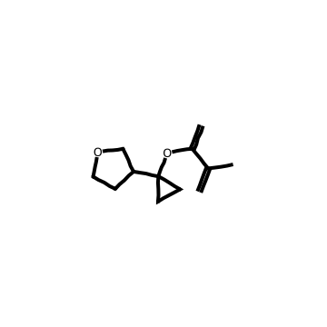 C=C(C)C(=C)OC1(C2CCOC2)CC1